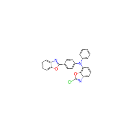 Clc1nc2cccc(N(c3ccccc3)c3ccc(-c4nc5ccccc5o4)cc3)c2o1